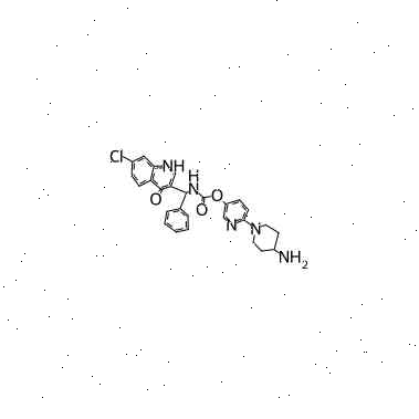 NC1CCN(c2ccc(OC(=O)NC(c3ccccc3)c3c[nH]c4cc(Cl)ccc4c3=O)cn2)CC1